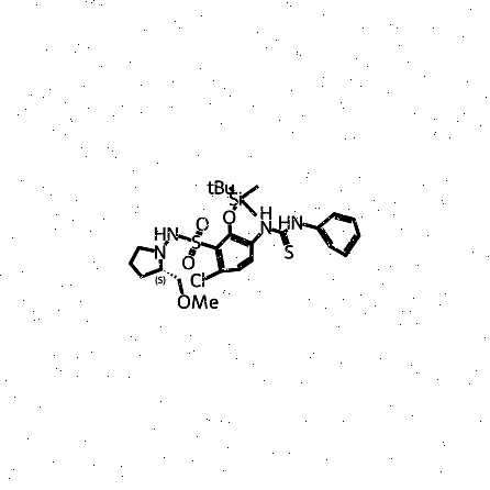 COC[C@@H]1CCCN1NS(=O)(=O)c1c(Cl)ccc(NC(=S)Nc2ccccc2)c1O[Si](C)(C)C(C)(C)C